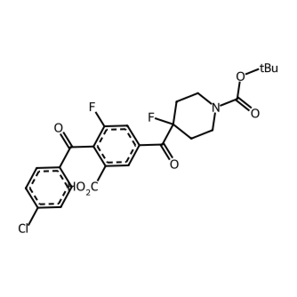 CC(C)(C)OC(=O)N1CCC(F)(C(=O)c2cc(F)c(C(=O)c3ccc(Cl)cc3)c(C(=O)O)c2)CC1